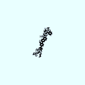 CCCCN(Cc1nc(-c2ccc3c(c2)COc2cc4c(ccc5nc(CN(CCC)C(=O)C(NC(=O)OC)c6ccccc6)[nH]c54)cc2-3)c[nH]1)C(=O)CNC(=O)OC